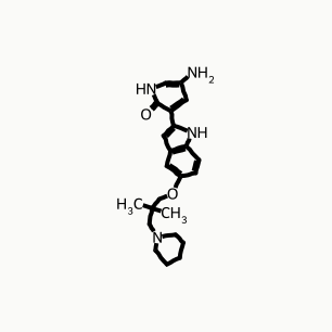 CC(C)(COc1ccc2[nH]c(-c3cc(N)c[nH]c3=O)cc2c1)CN1CCCCC1